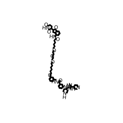 O=C1CCC(C2Cc3c(NC(=O)CCCCCOCCOCCOCCCCCCOc4cccc(CNC(=O)c5cccc(NC6(c7nnc(-c8ccncc8)[nH]7)CCNCC6)c5)c4)cccc3C2=O)C(=O)N1